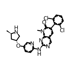 C[C@@H]1C[C@@H](Oc2ccc(Nc3ncc4cc(-c5c(Cl)cccc5Cl)c(=O)n(C)c4n3)nc2)CN1